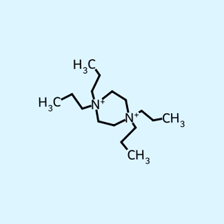 CCC[N+]1(CCC)CC[N+](CCC)(CCC)CC1